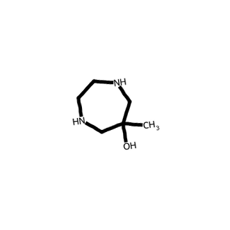 CC1(O)CNCCNC1